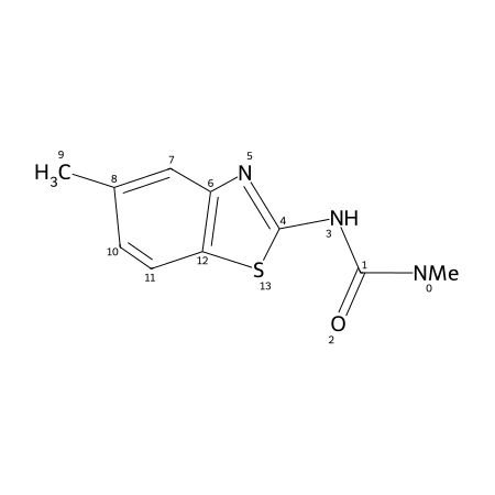 CNC(=O)Nc1nc2cc(C)ccc2s1